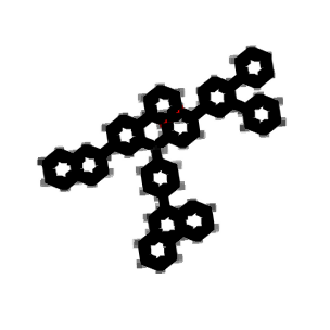 c1ccc(-c2ccc(-c3ccc(N(c4ccc(-c5cc6ccccc6c6ccccc56)cc4)c4cc(-c5ccc6ccccc6c5)ccc4-c4ccccc4)cc3)cc2-c2ccccc2)cc1